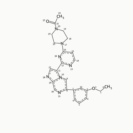 CCOc1cccc(-c2cn3c(-c4nccc(N5CCN(C(C)=O)CC5)n4)cnc3cn2)c1